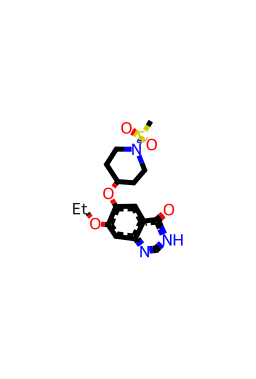 CCOc1cc2nc[nH]c(=O)c2cc1OC1CCN(S(C)(=O)=O)CC1